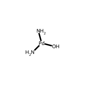 [NH2][Pd]([NH2])[OH]